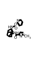 Cn1ccc(C(=O)NC23CC4CC(CC(NC(=O)Oc5ccccn5)(C4)C2)C3)n1